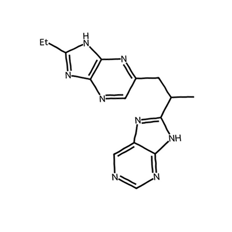 CCc1nc2ncc(CC(C)c3nc4cncnc4[nH]3)nc2[nH]1